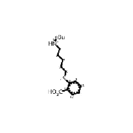 CCCCNCCCCCSc1ccccc1C(=O)O